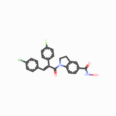 O=C(NO)c1ccc2c(c1)CCN2C(=O)C(=Cc1ccc(Cl)cc1)c1ccc(F)cc1